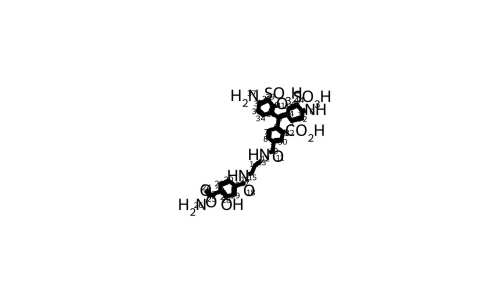 N=c1ccc2c(-c3ccc(C(=O)NCCCNC(=O)c4ccc(C(=O)ON)c(O)c4)cc3C(=O)O)c3ccc(N)c(S(=O)(=O)O)c3oc-2c1S(=O)(=O)O